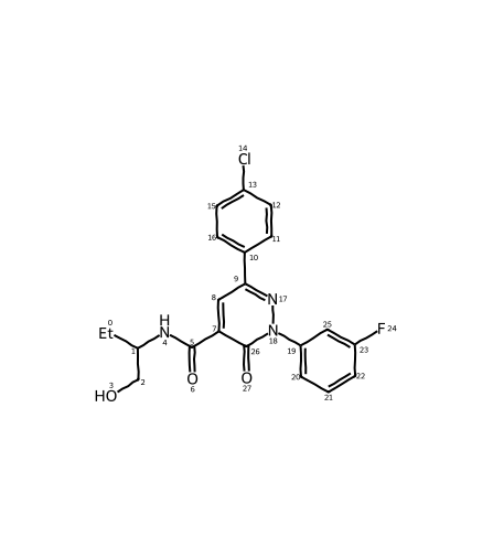 CCC(CO)NC(=O)c1cc(-c2ccc(Cl)cc2)nn(-c2cccc(F)c2)c1=O